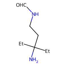 CCC(N)(CC)CCNC=O